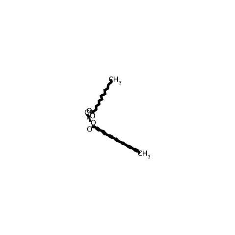 CC#CC#CC#CC#CC#CC#CC#CC(=O)OC[C@@H](CO)OC(=O)CCCCCCCCCCCC